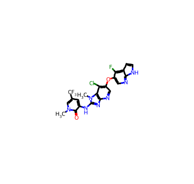 Cn1cc(C(F)(F)F)cc(Nc2nc3ncc(Oc4cnc5[nH]ccc5c4F)c(Cl)c3n2C)c1=O